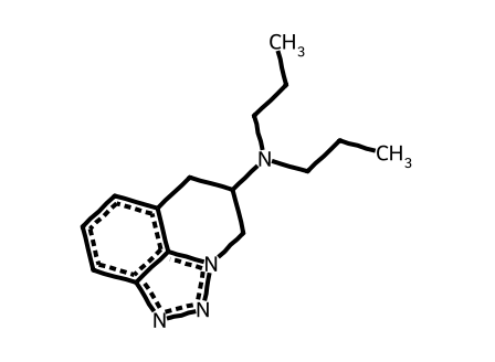 CCCN(CCC)C1Cc2cccc3nnn(c23)C1